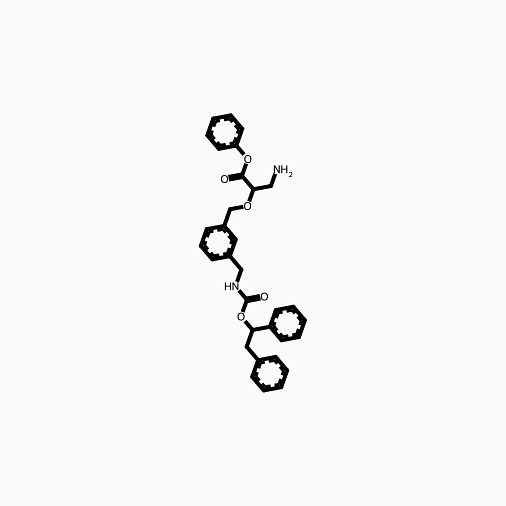 NCC(OCc1cccc(CNC(=O)OC(Cc2ccccc2)c2ccccc2)c1)C(=O)Oc1ccccc1